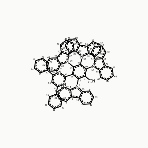 N#Cc1c(-n2c3ccccc3c3ccccc32)c(-c2nc(-c3ccccc3)cc(-c3ccccc3)n2)c(-n2c3ccccc3c3ccccc32)c(-n2c3ccccc3c3ccccc32)c1-n1c2ccccc2c2ccccc21